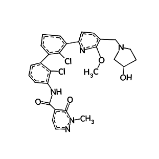 COc1nc(-c2cccc(-c3cccc(NC(=O)c4ccnn(C)c4=O)c3Cl)c2Cl)ccc1CN1CCC(O)C1